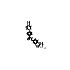 O=C(CCc1ccc(NC(=O)C(F)(F)F)cc1)c1ccc(N2CCNCC2)cc1